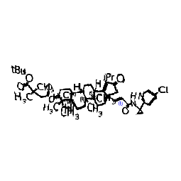 CC(C)C1=C2[C@H]3CC[C@@H]4[C@@]5(C)CC[C@H](OC(=O)CC(C)(C)C(=O)OC(C)(C)C)C(C)(C)[C@@H]5CC[C@@]4(C)[C@]3(C)CC[C@@]2(/C=C/C(=O)NC2(c3ccc(Cl)cn3)CC2)CC1=O